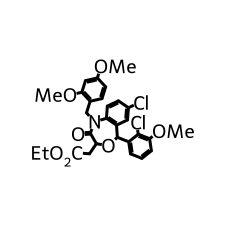 CCOC(=O)CC1OC(c2cccc(OC)c2Cl)c2cc(Cl)ccc2N(Cc2ccc(OC)cc2OC)C1=O